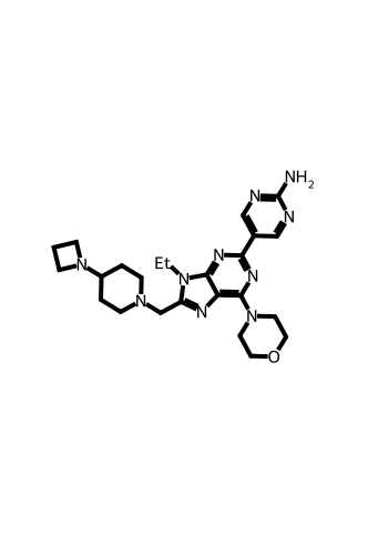 CCn1c(CN2CCC(N3CCC3)CC2)nc2c(N3CCOCC3)nc(-c3cnc(N)nc3)nc21